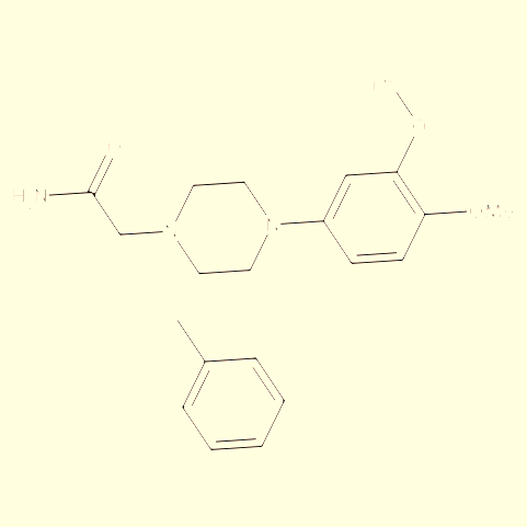 COc1ccc(N2CCN(CC(N)=O)[C@@H](Cc3ccccc3)C2)cc1OC(C)C